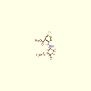 COC(=O)c1cc(F)ccc1CNC1=CC(SCC(F)(F)F)=C(Cl)CC1F